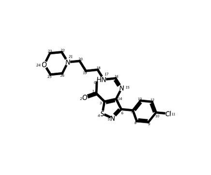 CC(=O)c1snc(-c2ccc(Cl)cc2)c1/N=C\NCCCN1CCOCC1